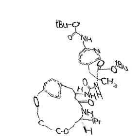 CC(C)[C@H]1COCCCCOc2ccc(cc2)C[C@@H](NC(=O)NC(C)(Cc2ccc(NC(=O)OC(C)(C)C)nc2)C(=O)OC(C)(C)C)C(=O)N1